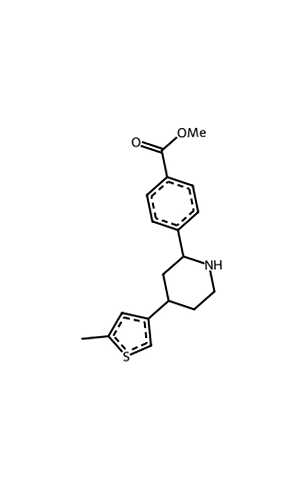 COC(=O)c1ccc(C2CC(c3csc(C)c3)CCN2)cc1